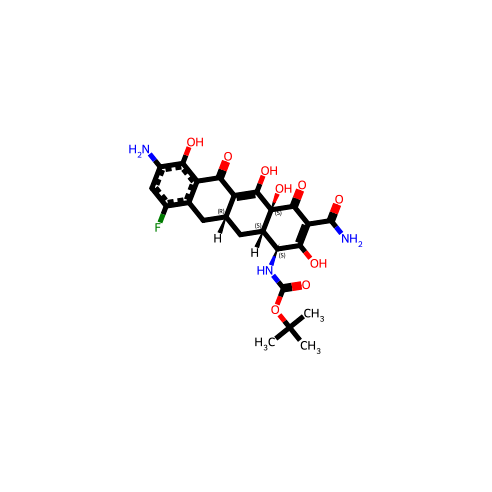 CC(C)(C)OC(=O)N[C@@H]1C(O)=C(C(N)=O)C(=O)[C@@]2(O)C(O)=C3C(=O)c4c(O)c(N)cc(F)c4C[C@H]3C[C@@H]12